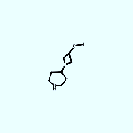 IOC1CN(C2CCNCC2)C1